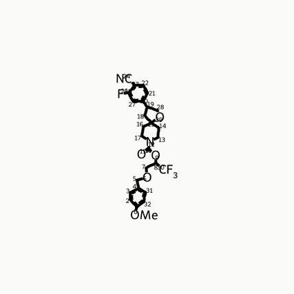 COc1ccc(COCC(OC(=O)N2CCC3(CC2)CC(c2ccc(C#N)c(F)c2)CO3)C(F)(F)F)cc1